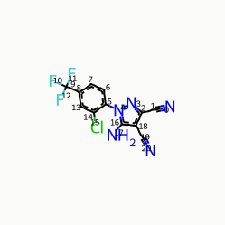 N#Cc1nn(-c2ccc(C(F)(F)F)cc2Cl)c(N)c1C#N